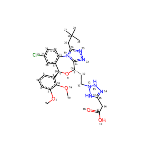 COc1cccc([C@@H]2O[C@@H](CCN3NN=C(CC(=O)O)N3)c3nnc(CC(C)(C)C)n3-c3ccc(Cl)cc32)c1OC